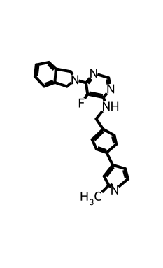 Cc1cc(-c2ccc(CNc3ncnc(N4Cc5ccccc5C4)c3F)cc2)ccn1